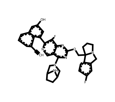 C#Cc1cccc2cc(O)cc(-c3ncc4c(N5CC6CCC(C5)N6)nc(OCC56CCCN5Cc5cc(F)ccc56)nc4c3F)c12